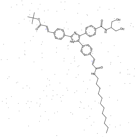 CCCCCCCCCCCCNC(=O)/C=C/c1ccc(-c2[nH]c(-c3ccc(/C=C/C(=O)OC(C)(C)C)cc3)nc2-c2ccc(C(=O)NC(CO)CO)cc2)cc1